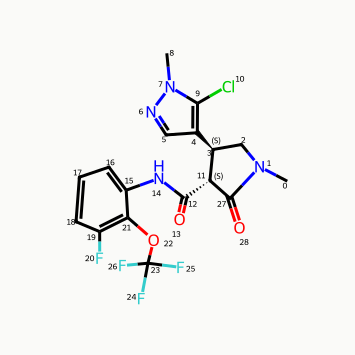 CN1C[C@H](c2cnn(C)c2Cl)[C@@H](C(=O)Nc2cccc(F)c2OC(F)(F)F)C1=O